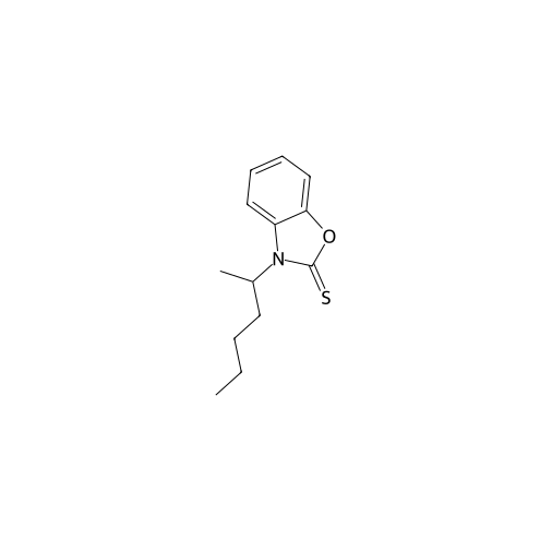 CCCCC(C)n1c(=S)oc2ccccc21